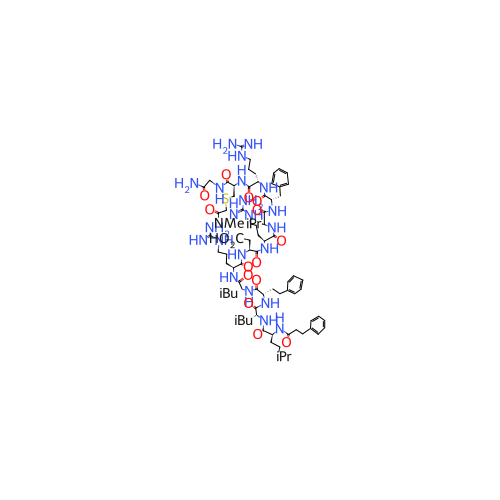 CC[C@H](C)[C@H](NC(=O)[C@H](CCc1ccccc1)NC(=O)[C@@H](NC(=O)[C@H](CCC(C)C)NC(=O)CCc1ccccc1)[C@@H](C)CC)C(=O)N[C@@H](CCCNC(=N)N)C(=O)N[C@@H](CC(=O)O)C(=O)N[C@@H](CCCNC(=N)N)C(=O)N[C@H](C(=O)N[C@@H](Cc1ccccc1)C(=O)N[C@@H](CCCNC(=N)N)C(=O)N[C@@H](CSCC(=O)NC)C(=O)NCC(N)=O)C(C)C